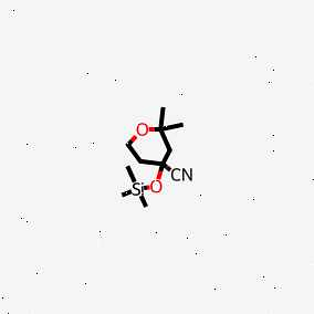 CC1(C)CC(C#N)(O[Si](C)(C)C)CCO1